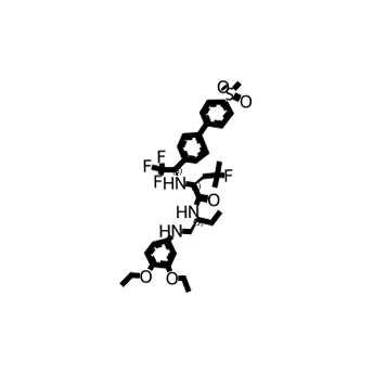 CCOc1ccc(NC[C@H](CC)NC(=O)[C@H](CC(C)(C)F)N[C@@H](c2ccc(-c3ccc(S(C)(=O)=O)cc3)cc2)C(F)(F)F)cc1OCC